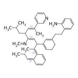 C=N/C(=C\C(C1=CCCC(CCc2ccccc2N)=C1)/C(C)=c1\cccc\c1=C\CC)C(/C=C(\C)c1cccnc1)CC(C)C